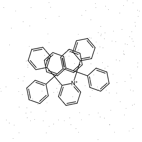 c1ccc(C(c2ccccc2)(c2ccccc2)c2cccc[n+]2C(c2ccccc2)(c2ccccc2)c2ccccc2)cc1